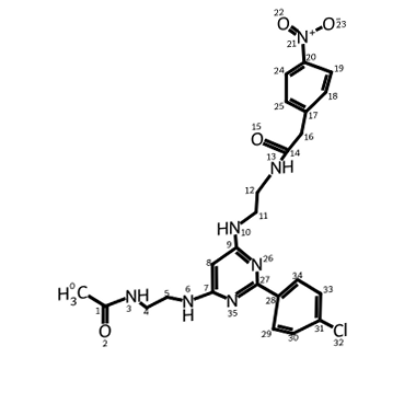 CC(=O)NCCNc1cc(NCCNC(=O)Cc2ccc([N+](=O)[O-])cc2)nc(-c2ccc(Cl)cc2)n1